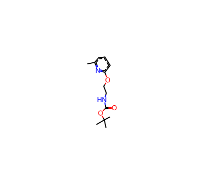 Cc1cccc(OCCNC(=O)OC(C)(C)C)n1